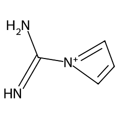 N=C(N)[N+]1=CC=C1